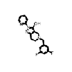 Oc1c2c(nn1-c1ccccn1)CCN(Cc1cc(F)cc(F)c1)C2